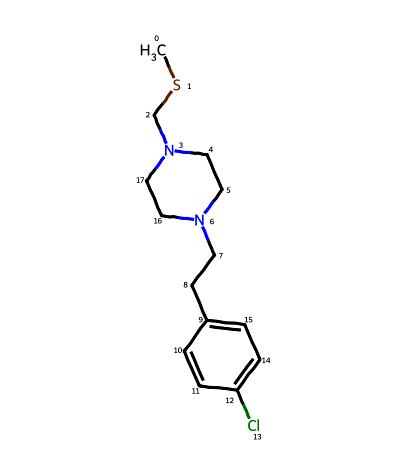 CSCN1CCN(CCc2ccc(Cl)cc2)CC1